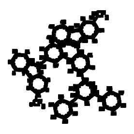 FC(F)(F)c1ccc2c(c1)c1ccccc1n2-c1cccc(-c2cc(-c3nc(-c4ccccc4)cc(-c4ccccc4)n3)ccc2-n2c3ccccc3c3cc(C(F)(F)F)ccc32)c1